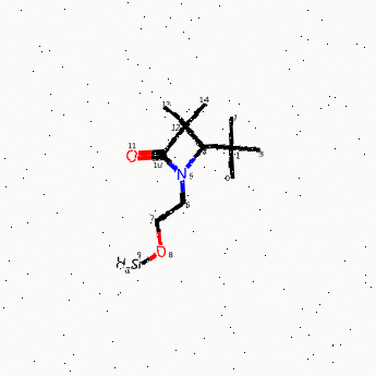 CC(C)(C)C1N(CCO[SiH3])C(=O)C1(C)C